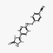 N#Cc1ccc(CNc2ncc(-c3n[nH]c(=O)o3)cn2)cc1